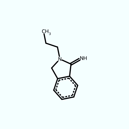 CCCN1Cc2ccccc2C1=N